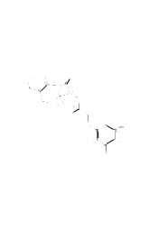 CC(=O)OCC1=C(C(=O)O)N2C(=O)[C@@H](NC(=O)CSc3cc(Cl)cc(Cl)c3)[C@H]2SC1